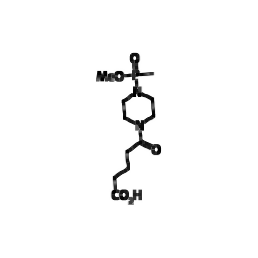 COP(C)(=O)N1CCN(C(=O)CCCC(=O)O)CC1